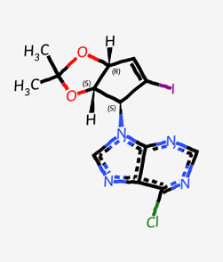 CC1(C)O[C@H]2[C@H](n3cnc4c(Cl)ncnc43)C(I)=C[C@H]2O1